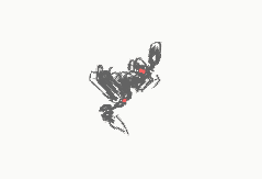 CS(=O)(=O)c1cncc(Oc2cc(N3CCC(CN4CCCC[C@H]4c4ccc(Cl)cc4)CC3)ccc2C(=O)NS(=O)(=O)c2ccc(NCC3CCOCC3)c([N+](=O)[O-])c2)c1